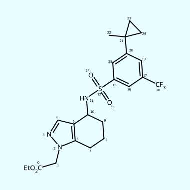 CCOC(=O)Cn1ncc2c1CCCC2NS(=O)(=O)c1cc(C(F)(F)F)cc(C2(C)CC2)c1